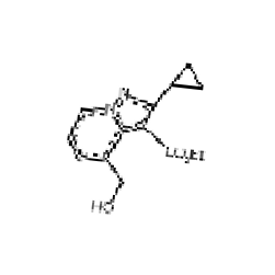 CCOC(=O)c1c(C2CC2)nn2cccc(CO)c12